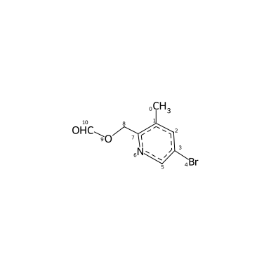 Cc1cc(Br)cnc1COC=O